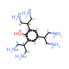 NCC(CN)c1cc(C(CN)CN)c(O)c(C(CN)CN)c1